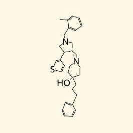 Cc1ccccc1CN1CC(CN2CCC(O)(CCCc3ccccc3)CC2)C(c2ccsc2)C1